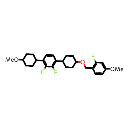 COc1ccc(COC2CCC(c3ccc(C4CCC(OC)CC4)c(F)c3F)CC2)c(F)c1